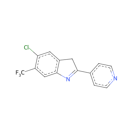 FC(F)(F)c1cc2c(cc1Cl)CC(c1ccncc1)=N2